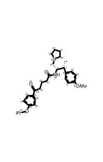 COc1ccc([C@@H](C)[C@@H](CN2CCCC2)NC(=O)CCCC(=O)c2ccc(OC(C)C)cc2)cc1